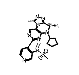 CC[C@@H]1c2nnc(C)n2-c2cnc(-c3ccncc3NS(C)(=O)=O)nc2N1C1CCCC1